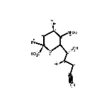 C#CC[C@@H](O)[C@@H](O)C1O[C@](C(=O)O)(C(C)C)C[C@@H](O)C1NC(C)=O